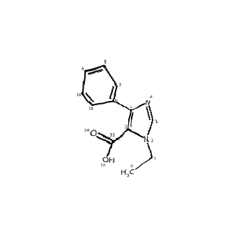 CCn1cnc(-c2ccccc2)c1C(=O)O